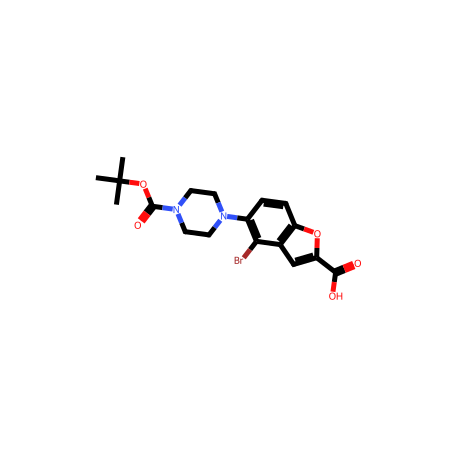 CC(C)(C)OC(=O)N1CCN(c2ccc3oc(C(=O)O)cc3c2Br)CC1